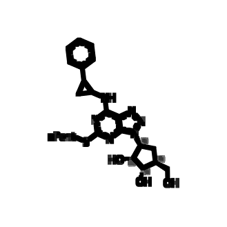 CCCCCSc1nc(NC2CC2c2ccccc2)c2nnn([C@H]3C[C@@H](CO)[C@H](O)[C@@H]3O)c2n1